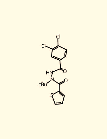 CC(C)(C)N(NC(=O)c1ccc(Cl)c(Cl)c1)C(=O)c1cccs1